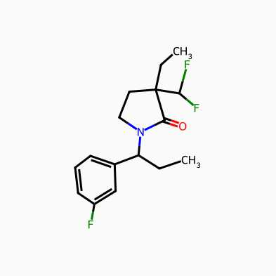 CCC(c1cccc(F)c1)N1CCC(CC)(C(F)F)C1=O